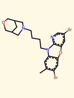 Cc1cc2c(cc1Br)Oc1cc(Br)cnc1N2CCCCN1CC2COCC(C2)C1